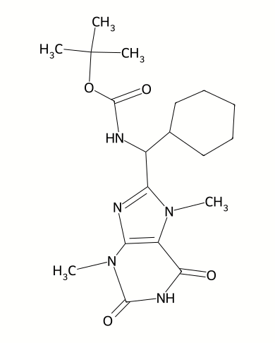 Cn1c(C(NC(=O)OC(C)(C)C)C2CCCCC2)nc2c1c(=O)[nH]c(=O)n2C